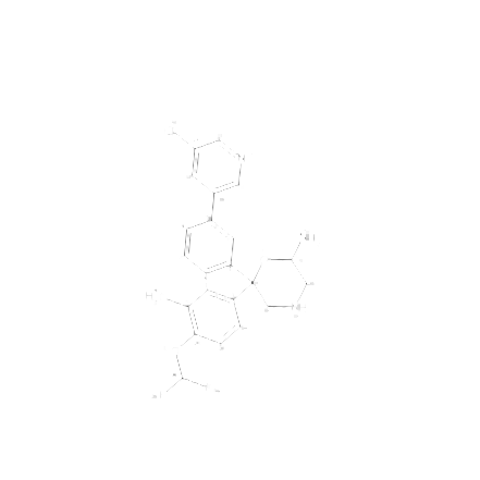 Cc1cc(C2(c3cccc(-c4cncc(Cl)c4)c3)CNCC(N)O2)ccc1OC(F)F